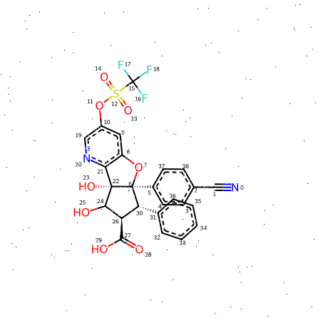 N#Cc1ccc([C@@]23Oc4cc(OS(=O)(=O)C(F)(F)F)cnc4[C@]2(O)C(O)[C@H](C(=O)O)[C@H]3c2ccccc2)cc1